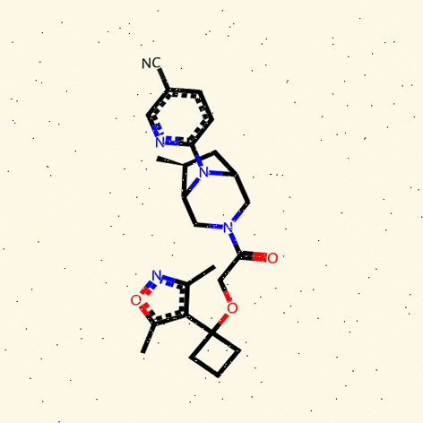 Cc1noc(C)c1C1(OCC(=O)N2CC3C[C@H](C)C(C2)N3c2ccc(C#N)cn2)CCC1